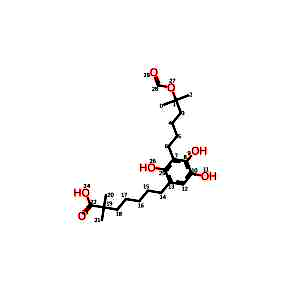 CC(C)(CCCCc1c(O)c(O)cc(CCCCCC(C)(C)C(=O)O)c1O)OC=O